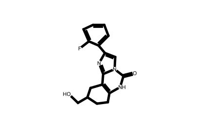 O=c1[nH]c2c(c3nc(-c4ccccc4F)cn13)CC(CO)CC2